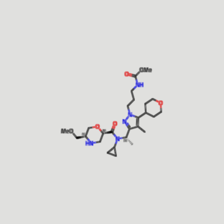 COC[C@H]1CO[C@@H](C(=O)N(C2CC2)[C@@H](C)c2nn(CCCNC(=O)OC)c(C3CCOCC3)c2C)CN1